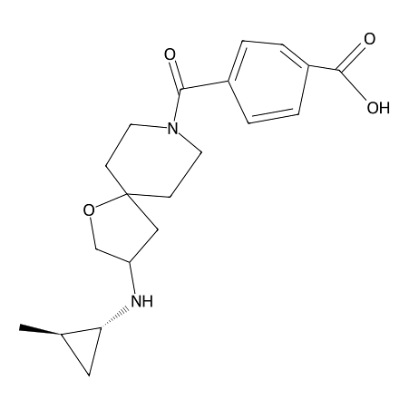 C[C@@H]1C[C@H]1NC1COC2(CCN(C(=O)c3ccc(C(=O)O)cc3)CC2)C1